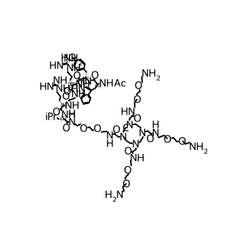 CC(=O)N[C@@H](Cc1c[nH]c2ccccc12)C(=O)N[C@@H](Cc1ccc(O)cc1)C(=O)N[C@@H](CCCNC(=N)N)C(=O)NCC(=O)N[C@@H](CCCNC(=N)N)C(=O)N[C@@H](CC(C)C)C(=O)NCCOCCOCCNC(=O)CN1CCN(CC(=O)NCCOCCOCCN)CCN(CC(=O)NCCOCCOCCN)CCN(CC(=O)NCCOCCOCCN)CC1